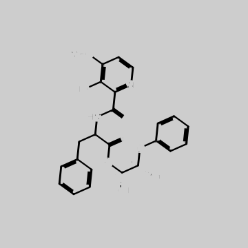 COc1ccnc(C(=O)NC(Cc2ccccc2)C(=O)O[C@@H](C)[C@H](Oc2ccccc2)C(C)C)c1O